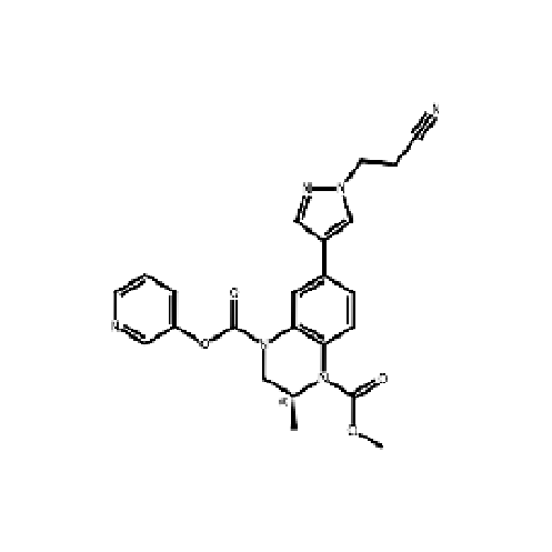 COC(=O)N1c2ccc(-c3cnn(CCC#N)c3)cc2N(C(=O)Oc2cccnc2)C[C@@H]1C